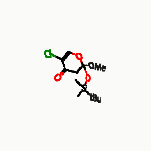 COC1(O[Si](C)(C)C(C)(C)C)CC(=O)C(Cl)=CO1